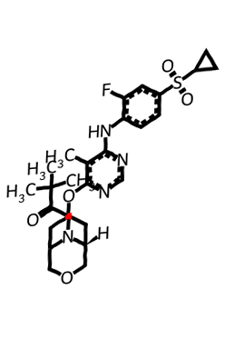 Cc1c(Nc2ccc(S(=O)(=O)C3CC3)cc2F)ncnc1OC1CC2COC[C@@H](C1)N2CC(=O)C(C)(C)C